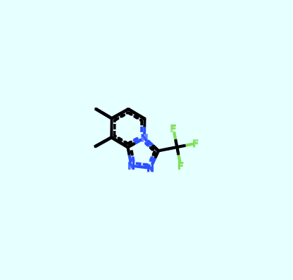 Cc1ccn2c(C(F)(F)F)nnc2c1C